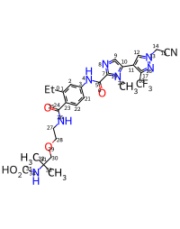 CCc1cc(NC(=O)c2ncc(-c3cn(CC#N)nc3C(F)(F)F)n2C)ccc1C(=O)NCCOCC(C)(C)NC(=O)O